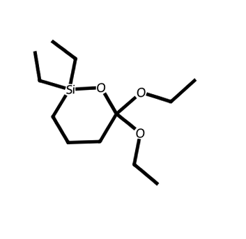 CCOC1(OCC)CCC[Si](CC)(CC)O1